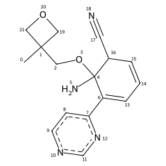 CC1(COC2(N)C(c3ccncn3)=CC=CC2C#N)COC1